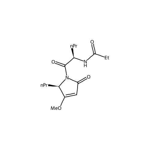 CCC[C@@H]1C(OC)=CC(=O)N1C(=O)[C@@H](CCC)NC(=O)CC